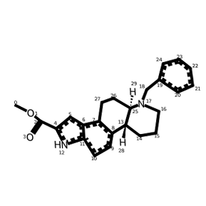 COC(=O)c1cc2c3c(ccc2[nH]1)[C@H]1CCCN(Cc2ccccc2)[C@@H]1CC3